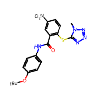 Cn1nnnc1Sc1ccc([N+](=O)[O-])cc1C(=O)Nc1ccc(OC(C)(C)C)cc1